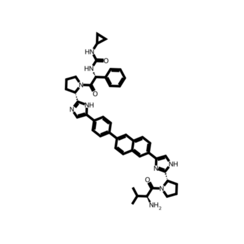 CC(C)[C@H](N)C(=O)N1CCC[C@H]1c1nc(-c2ccc3cc(-c4ccc(-c5cnc([C@@H]6CCCN6C(=O)[C@H](NC(=O)NC6CC6)c6ccccc6)[nH]5)cc4)ccc3c2)c[nH]1